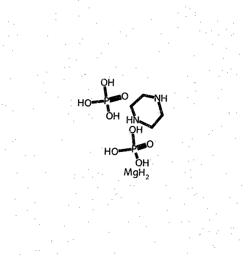 C1CNCCN1.O=P(O)(O)O.O=P(O)(O)O.[MgH2]